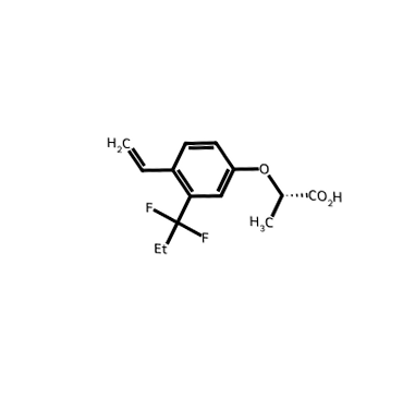 C=Cc1ccc(O[C@@H](C)C(=O)O)cc1C(F)(F)CC